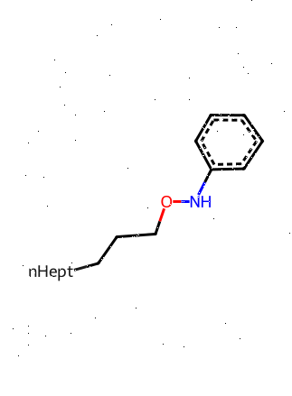 CCCCCCCCCCONc1ccccc1